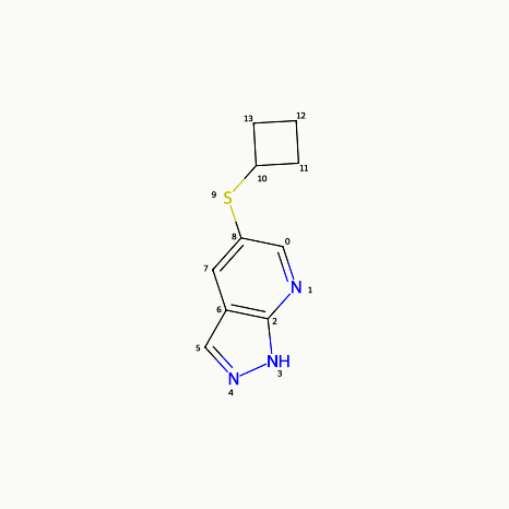 c1nc2[nH]ncc2cc1SC1CCC1